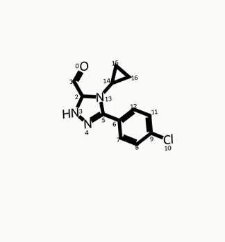 O=CC1NN=C(c2ccc(Cl)cc2)N1C1CC1